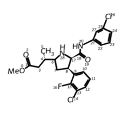 COC(=O)C[C@H](C)C1C[C@H](c2cccc(Cl)c2F)[C@H](C(=O)Nc2cccc(Cl)c2)N1